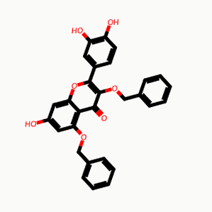 O=c1c(OCc2ccccc2)c(-c2ccc(O)c(O)c2)oc2cc(O)cc(OCc3ccccc3)c12